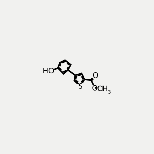 COC(=O)c1cc(-c2cccc(O)c2)cs1